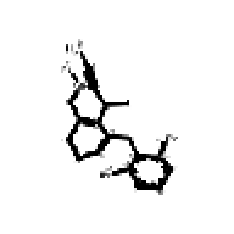 CCBCC1=C(C(C)C#CP)C(Cc2c(C(C)C)cccc2C(C)C)=CCC1